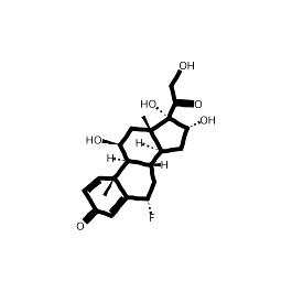 C[C@]12C=CC(=O)C=C1[C@@H](F)C[C@@H]1[C@@H]2[C@@H](O)C[C@@]2(C)[C@H]1C[C@@H](O)[C@]2(O)C(=O)CO